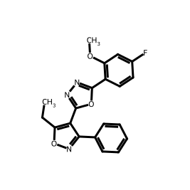 CCc1onc(-c2ccccc2)c1-c1nnc(-c2ccc(F)cc2OC)o1